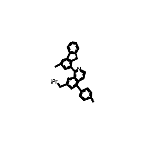 Cc1ccc(-c2cc(CC(C)C)cc3c(-c4cc(C)cc5c4Cc4ccccc4-5)nccc23)cc1